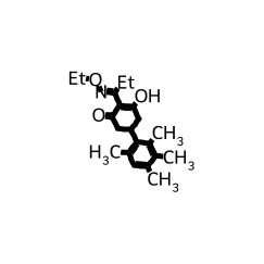 CCON=C(CC)C1=C(O)CC(c2c(C)cc(C)c(C)c2C)CC1=O